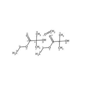 C=O.CCOC(=O)C(C)(C)O.CCOC(=O)C(C)(C)O